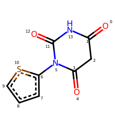 O=C1CC(=O)N(c2cccs2)C(=O)N1